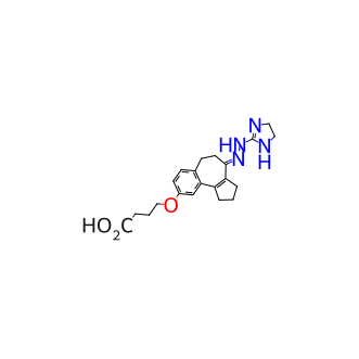 O=C(O)CCCOc1ccc2c(c1)C1=C(CCC1)C(=NNC1=NCCN1)CC2